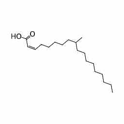 CCCCCCCCCC(C)CCCCC/C=C\C(=O)O